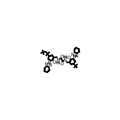 CC(C)(C)CC(C)(C)c1cc(CNC(=O)C(=O)NCc2cc(C(C)(C)C)cc(-n3nc4ccccc4n3)c2O)c(O)c(-n2nc3ccccc3n2)c1